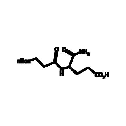 CCCCCCCCCCCC(=O)N[C@H](CCC(=O)O)C(N)=O